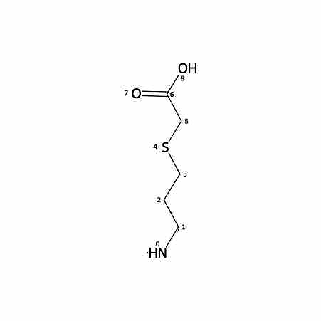 [NH][CH]CCSCC(=O)O